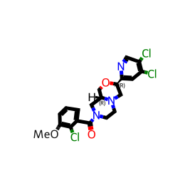 COc1cccc(C(=O)N2CCN3C[C@H](c4cc(Cl)c(Cl)cn4)OC[C@H]3C2)c1Cl